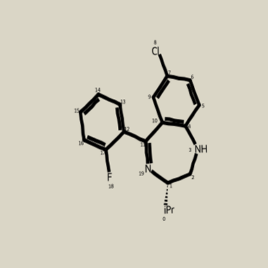 CC(C)[C@H]1CNc2ccc(Cl)cc2C(c2ccccc2F)=N1